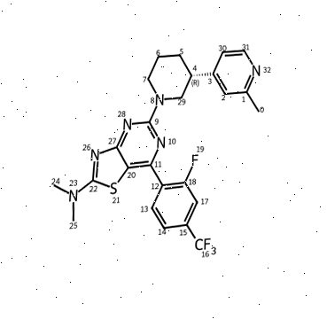 Cc1cc([C@H]2CCCN(c3nc(-c4ccc(C(F)(F)F)cc4F)c4sc(N(C)C)nc4n3)C2)ccn1